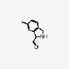 O=CC1NCc2ccc(I)cc21